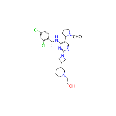 C[C@@H](Nc1nc(N2CC([C@H]3CCCN(CCO)C3)C2)ncc1C1CCCN1C=O)c1ccc(Cl)cc1Cl